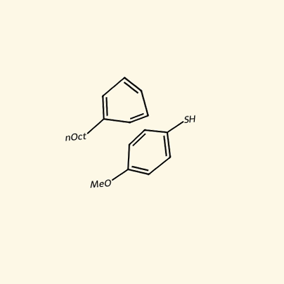 CCCCCCCCc1ccccc1.COc1ccc(S)cc1